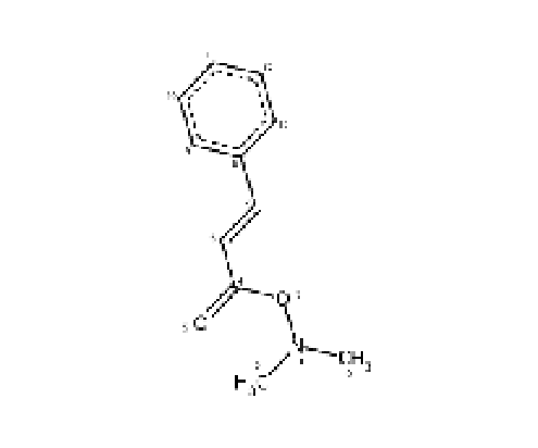 CN(C)OC(=O)C=Cc1ccccc1